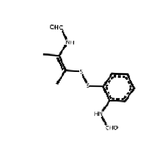 C/C(NC=O)=C(\C)SSc1ccccc1NC=O